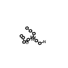 N#Cc1cccc(-c2ccc(-c3nc(-c4cccc(-c5ccc(-c6ccccc6)cc5)c4)nc(-c4ccc5c(c4)oc4cccc(-c6ccc7ccccc7c6)c45)n3)cc2)c1